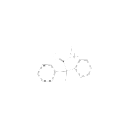 CN(C)C(=O)C(Cl)(c1ccccc1)c1ccccc1